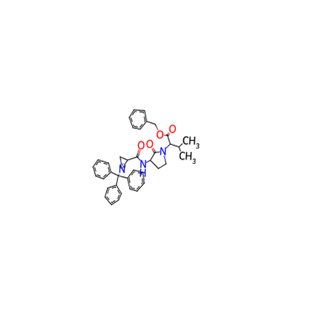 CC(C)C(C(=O)OCc1ccccc1)N1CCC(NC(=O)C2C[N@@]2C(c2ccccc2)(c2ccccc2)c2ccccc2)C1=O